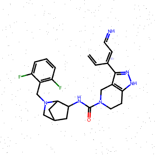 C=C/C(=C\C=N)c1n[nH]c2c1CN(C(=O)NC1CC3CC1N(Cc1c(F)cccc1F)C3)CC2